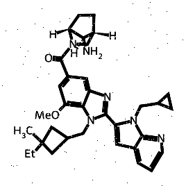 CCC1(C)CC(Cn2c(-c3cc4cccnc4n3CC3CC3)nc3cc(C(=O)N4C[C@H]5CC[C@@H]4[C@@H]5N)cc(OC)c32)C1